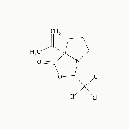 C=C(C)[C@]12CCCN1[C@H](C(Cl)(Cl)Cl)OC2=O